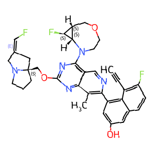 C#Cc1c(F)ccc2cc(O)cc(-c3ncc4c(N5CCOC[C@H]6[C@H](F)[C@H]65)nc(OC[C@@]56CCCN5C/C(=C/F)C6)nc4c3C)c12